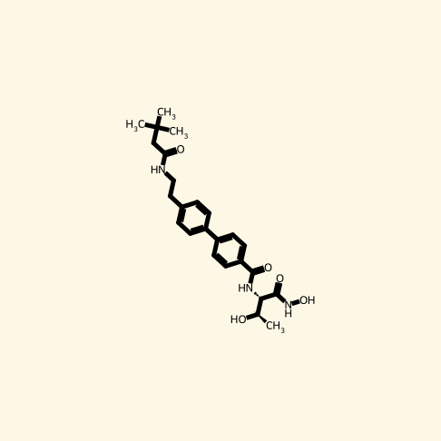 C[C@@H](O)[C@H](NC(=O)c1ccc(-c2ccc(CCNC(=O)CC(C)(C)C)cc2)cc1)C(=O)NO